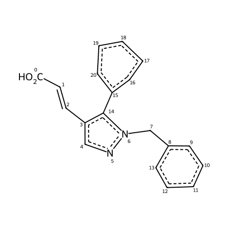 O=C(O)C=Cc1cnn(Cc2ccccc2)c1-c1ccccc1